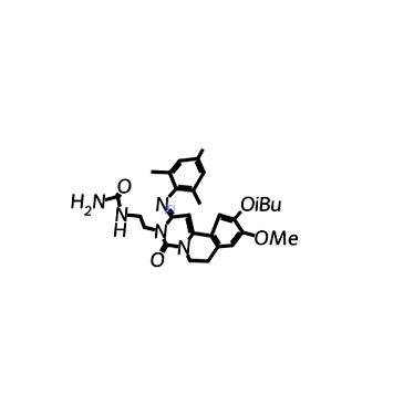 COc1cc2c(cc1OCC(C)C)-c1c/c(=N\c3c(C)cc(C)cc3C)n(CCNC(N)=O)c(=O)n1CC2